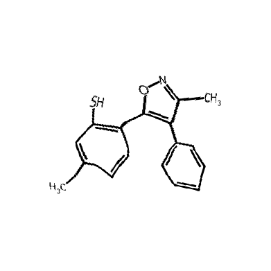 Cc1ccc(-c2onc(C)c2-c2ccccc2)c(S)c1